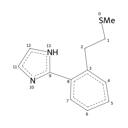 CSCCc1ccccc1-c1ncc[nH]1